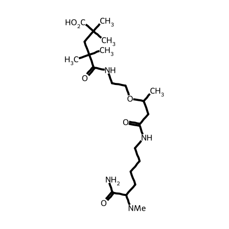 CNC(CCCCNC(=O)CC(C)OCCNC(=O)C(C)(C)CC(C)(C)C(=O)O)C(N)=O